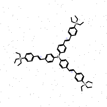 CC[Si](CC)(CC)c1ccc(/C=C/c2ccc(N(c3ccc(/C=C/c4ccc([Si](CC)(CC)CC)cc4)cc3)c3ccc(/C=C/c4ccc([Si](CC)(CC)CC)cc4)cc3)cc2)cc1